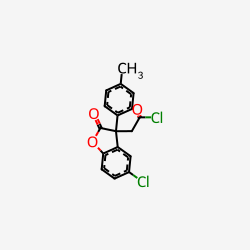 Cc1ccc(C2(CC(=O)Cl)C(=O)Oc3ccc(Cl)cc32)cc1